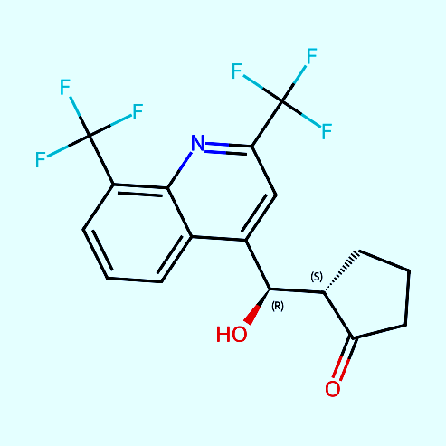 O=C1CCC[C@H]1[C@@H](O)c1cc(C(F)(F)F)nc2c(C(F)(F)F)cccc12